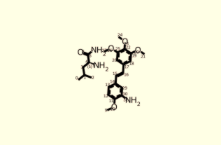 CC(C)C[C@H](N)C(N)=O.COc1ccc(C=Cc2cc(OC)c(OC)c(OC)c2)cc1N